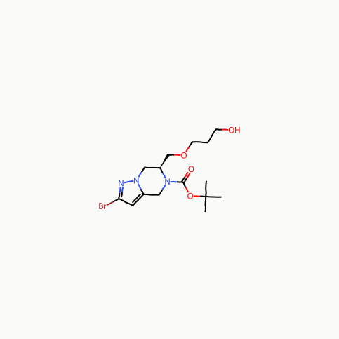 CC(C)(C)OC(=O)N1Cc2cc(Br)nn2C[C@H]1COCCCO